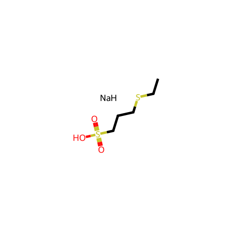 CCSCCCS(=O)(=O)O.[NaH]